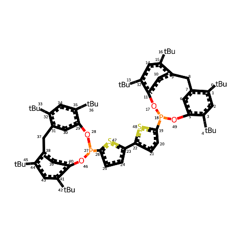 CC(C)(C)c1cc(C(C)(C)C)c2cc1Cc1cc(c(C(C)(C)C)cc1C(C)(C)C)OP(c1ccc(-c3ccc(P4Oc5cc(c(C(C)(C)C)cc5C(C)(C)C)Cc5cc(c(C(C)(C)C)cc5C(C)(C)C)O4)s3)s1)O2